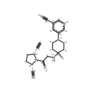 C#C[C@H]1CC[C@@H](C#N)N1C(=O)CNC1(C)CCN(c2cncc(C#N)c2)CC1